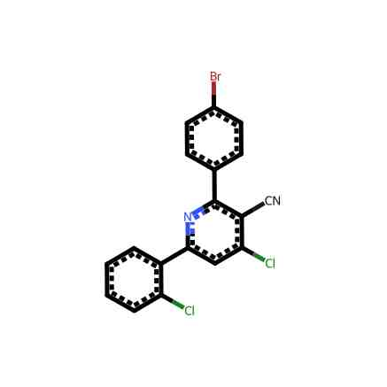 N#Cc1c(Cl)cc(-c2ccccc2Cl)nc1-c1ccc(Br)cc1